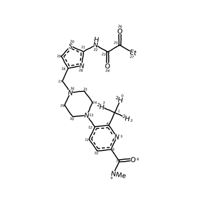 [2H]C([2H])([2H])c1nc(C(=O)NC)ccc1N1CCN(Cc2csc(NC(=O)C(=O)CC)n2)CC1